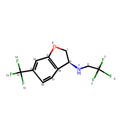 FC(F)(F)CN[C@@H]1COc2cc(C(F)(F)F)ccc21